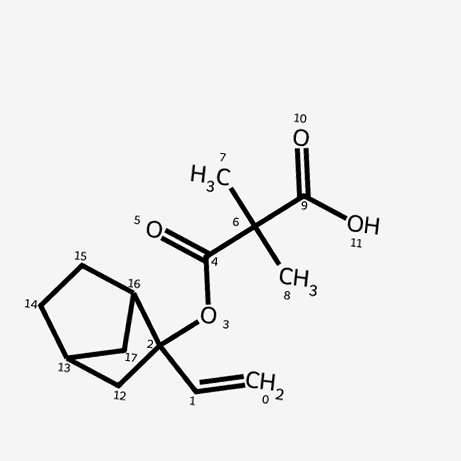 C=CC1(OC(=O)C(C)(C)C(=O)O)CC2CCC1C2